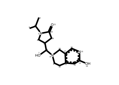 CC(C)N1CC(C(O)N2CCc3cc(O)ncc3C2)CC1=O